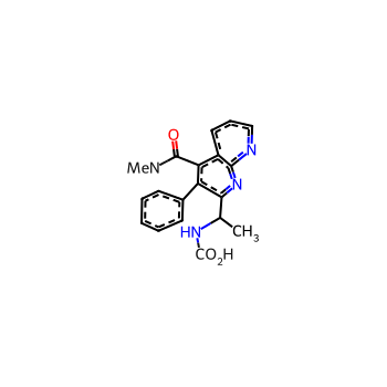 CNC(=O)c1c(-c2ccccc2)c(C(C)NC(=O)O)nc2ncccc12